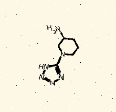 N[C@H]1CCCN(c2nnn[nH]2)C1